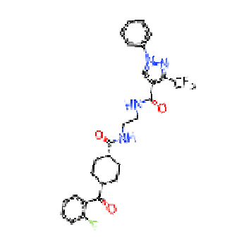 O=C(NCCNC(=O)[C@H]1CC[C@H](C(=O)c2ccccc2F)CC1)c1cn(-c2ccccc2)nc1C(F)(F)F